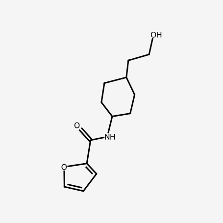 O=C(NC1CCC(CCO)CC1)c1ccco1